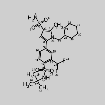 Cc1c(S(N)(=O)=O)cc(-c2ccc(S(=O)(=O)NC(C)(C)C)c(C(F)F)c2)n1CC1CCCCC1